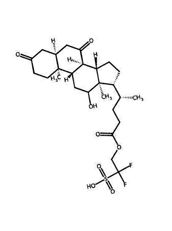 C[C@H](CCC(=O)OCC(F)(F)S(=O)(=O)O)[C@H]1CC[C@H]2[C@@H]3C(=O)C[C@@H]4CC(=O)CC[C@]4(C)[C@H]3CC(O)[C@]12C